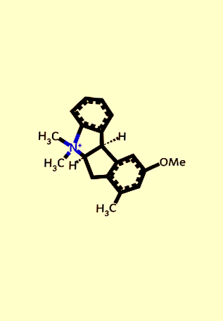 COc1cc(C)c2c(c1)[C@@H]1c3ccccc3[N+](C)(C)[C@@H]1C2